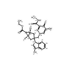 CCOC(=O)C1[C@H]2CC(Cn3cc(O)c(=O)c(C(=O)NC)n3)(n3cc(C)c4cccnc43)C[C@@H]12